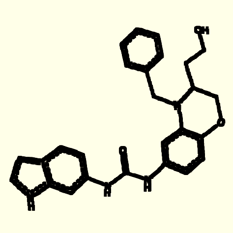 O=C(Nc1ccc2c(c1)N(Cc1ccccc1)C(CCO)CO2)Nc1ccc2cc[nH]c2c1